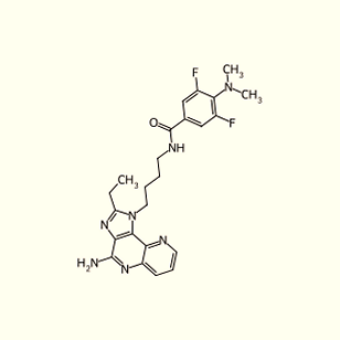 CCc1nc2c(N)nc3cccnc3c2n1CCCCNC(=O)c1cc(F)c(N(C)C)c(F)c1